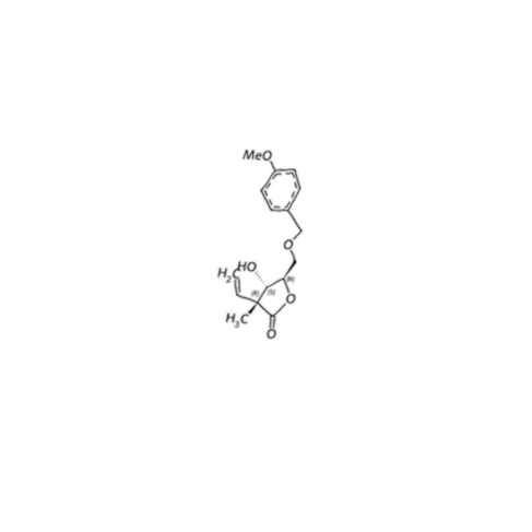 C=C[C@@]1(C)C(=O)O[C@H](COCc2ccc(OC)cc2)[C@H]1O